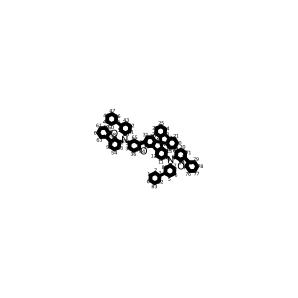 c1ccc(-c2cccc(N(c3ccc4c(c3)C3(c5ccccc5-c5ccccc53)c3ccc5c(oc6ccc(N(c7cccc(-c8ccccc8)c7)c7cccc8c7oc7ccccc78)cc65)c3-4)c3cccc4c3oc3ccccc34)c2)cc1